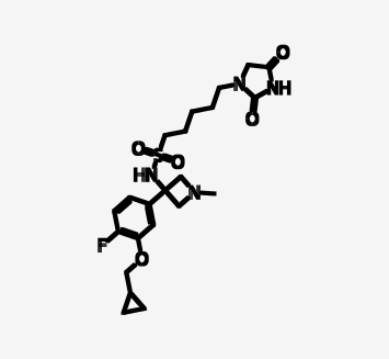 CN1CC(NS(=O)(=O)CCCCCN2CC(=O)NC2=O)(c2ccc(F)c(OCC3CC3)c2)C1